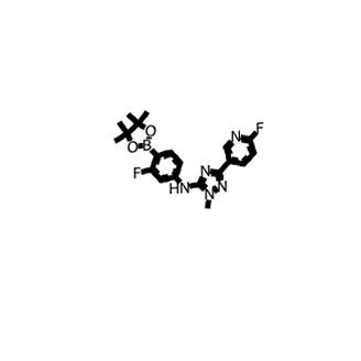 Cn1nc(-c2ccc(F)nc2)nc1Nc1ccc(B2OC(C)(C)C(C)(C)O2)c(F)c1